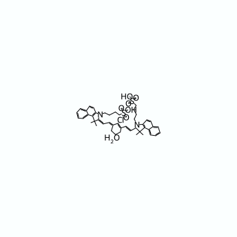 CC1(C)C(=CC=C2CCCC(C=CC3N(CCCCS(=O)(=O)O)c4ccc5ccccc5c4C3(C)C)=C2Cl)N(CCCCS(=O)(=O)O)c2ccc3ccccc3c21.O